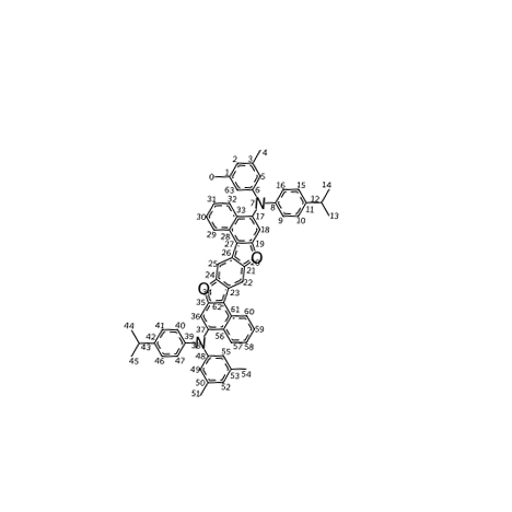 Cc1cc(C)cc(N(c2ccc(C(C)C)cc2)c2cc3oc4cc5c(cc4c3c3ccccc23)oc2cc(N(c3ccc(C(C)C)cc3)c3cc(C)cc(C)c3)c3ccccc3c25)c1